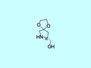 OC[C@H]1CC2(CN1)OCCO2